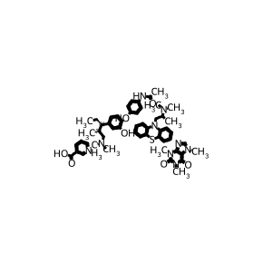 CC(=O)Nc1ccc(O)cc1.CC(CN1c2ccccc2Sc2ccccc21)N(C)C.CC[C@@H](c1cccc(O)c1)[C@@H](C)CN(C)C.Cn1c(=O)c2c(ncn2C)n(C)c1=O.O=C(O)c1cccnc1